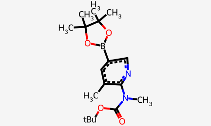 Cc1cc(B2OC(C)(C)C(C)(C)O2)cnc1N(C)C(=O)OC(C)(C)C